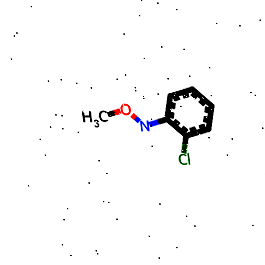 CO[N]c1ccccc1Cl